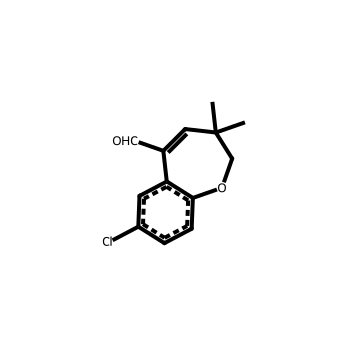 CC1(C)C=C(C=O)c2cc(Cl)ccc2OC1